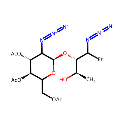 CCC(N=[N+]=[N-])[C@@H](O[C@H]1OC(COC(C)=O)[C@@H](OC(C)=O)[C@H](OC(C)=O)C1N=[N+]=[N-])[C@@H](C)O